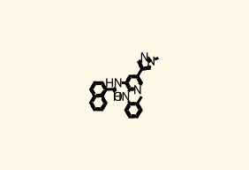 Cc1ccccc1Nc1ncc(-c2cnn(C)c2)cc1NC(=O)c1cccc2ccccc12